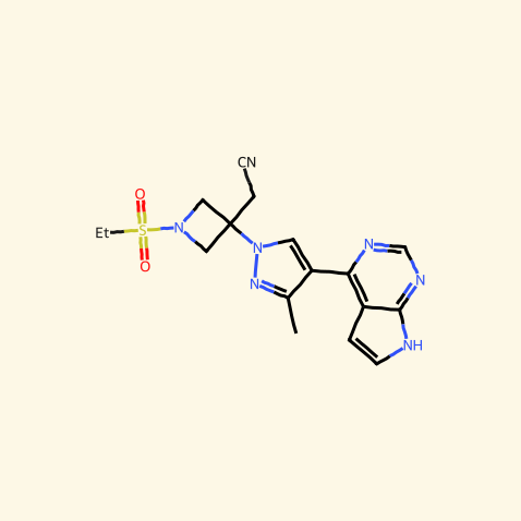 CCS(=O)(=O)N1CC(CC#N)(n2cc(-c3ncnc4[nH]ccc34)c(C)n2)C1